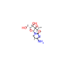 Nc1ccn([C@@H]2O[C@H](CO)[C@@H](O)[C@@]23CCO3)c(=O)n1